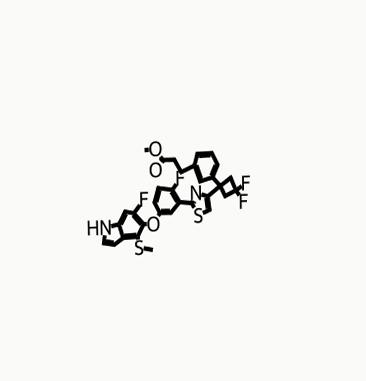 COC(=O)CCc1cccc(C2(c3csc(-c4cc(Oc5c(F)cc6[nH]ccc6c5SC)ccc4F)n3)CC(F)(F)C2)c1